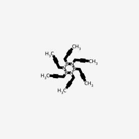 CC#CCB1N(CC#CC)B(CC#CC)N(CC#CC)B(CC#CC)N1CC#CC